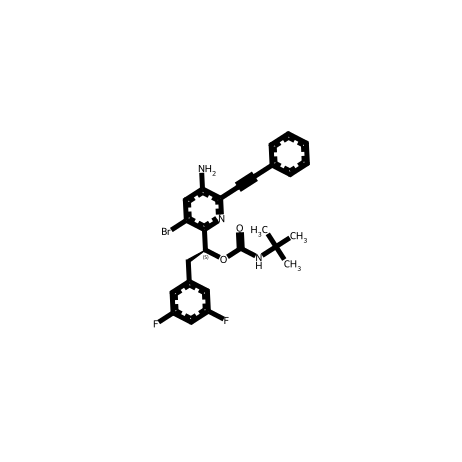 CC(C)(C)NC(=O)O[C@@H](Cc1cc(F)cc(F)c1)c1nc(C#Cc2ccccc2)c(N)cc1Br